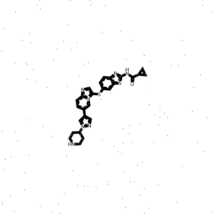 O=C(Nc1nc2ccc(Sc3cnc4ccc(-c5cnn(C6CCNCC6)c5)cn34)cc2s1)C1CC1